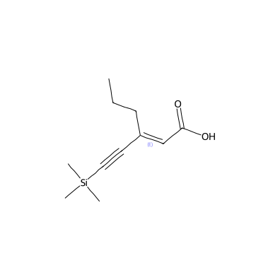 CCC/C(C#C[Si](C)(C)C)=C\C(=O)O